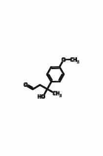 COc1ccc(C(C)(O)CC=O)cc1